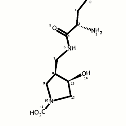 CC(C)C[C@H](N)C(=O)NC[C@@H]1CN(C(=O)O)C[C@@H]1O